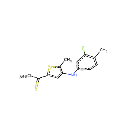 COC(=S)c1cc(Nc2ccc(C)c(F)c2)c(C)s1